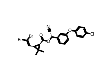 CC1(C)[C@H](C(=O)O[C@H](C#N)c2cccc(Oc3ccc(Cl)cc3)c2)[C@@H]1C=C(Br)Br